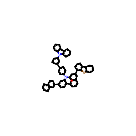 c1ccc(-c2ccc(-c3ccc4ccccc4c3)cc2N(c2ccc(-c3cccc(-n4c5ccccc5c5ccccc54)c3)cc2)c2cccc(-c3cccc4c3sc3ccccc34)c2)cc1